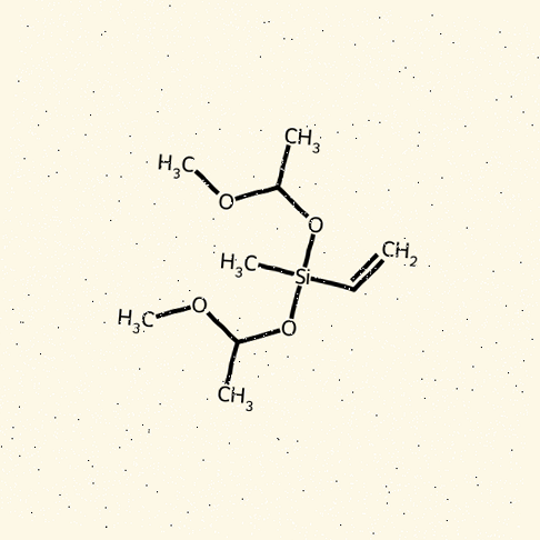 C=C[Si](C)(OC(C)OC)OC(C)OC